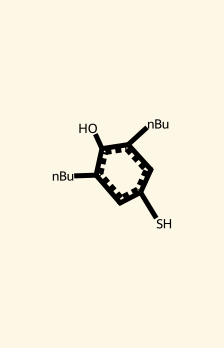 CCCCc1cc(S)cc(CCCC)c1O